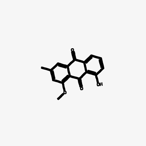 COc1cc(C)cc2c1C(=O)c1c(O)cccc1C2=O